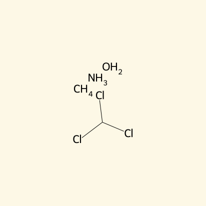 C.ClC(Cl)Cl.N.O